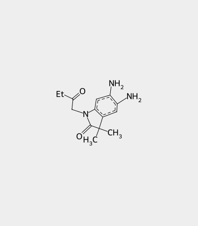 CCC(=O)CN1C(=O)C(C)(C)c2cc(N)c(N)cc21